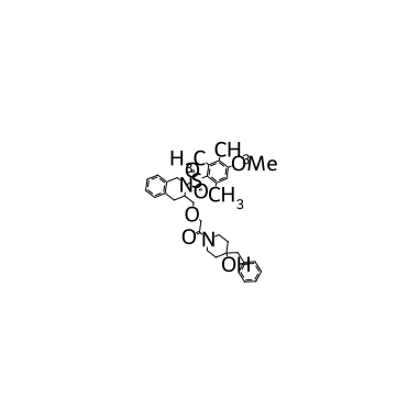 COc1cc(C)c(S(=O)(=O)N2Cc3ccccc3CC2COCC(=O)N2CCC(O)(Cc3ccccc3)CC2)c(C)c1C